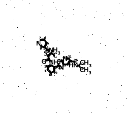 Cc1nc(-c2cccnc2)sc1C(=O)Nc1ccccc1-c1nc2cc(CNC(C)C)cnc2s1